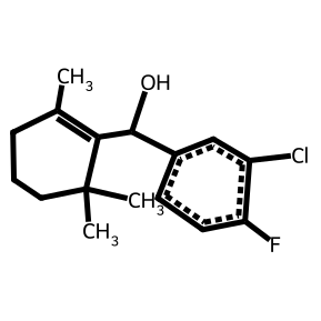 CC1=C(C(O)c2ccc(F)c(Cl)c2)C(C)(C)CCC1